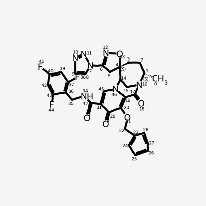 C[C@H]1CC[C@]2(CC(n3ccnn3)=NO2)C2CN1C(=O)c1c(OCc3ccccc3)c(=O)c(C(=O)NCc3c(F)cc(F)cc3F)cn12